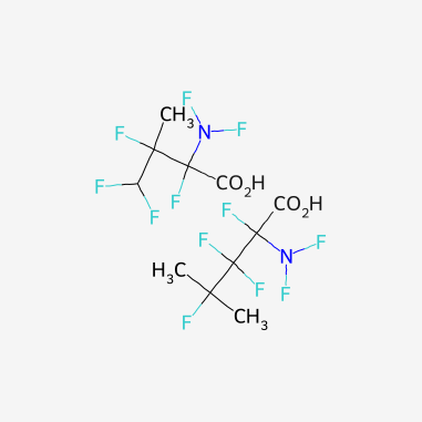 CC(C)(F)C(F)(F)C(F)(C(=O)O)N(F)F.CC(F)(C(F)F)C(F)(C(=O)O)N(F)F